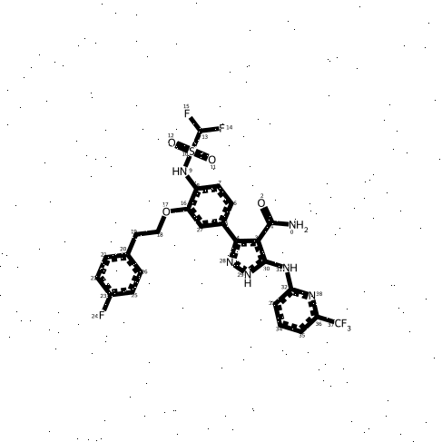 NC(=O)c1c(-c2ccc(NS(=O)(=O)C(F)F)c(OCCc3ccc(F)cc3)c2)n[nH]c1Nc1cccc(C(F)(F)F)n1